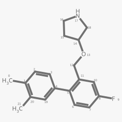 Cc1ccc(-c2ccc(F)cc2COC2CCNC2)cc1C